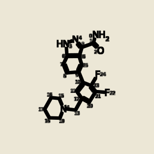 NC(=O)c1n[nH]c2ccc(-c3cc(CN4CCCCC4)cc(F)c3F)cc12